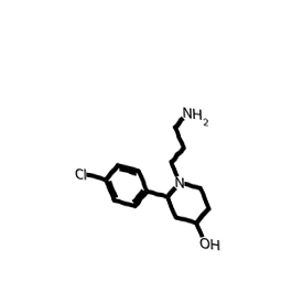 NCCCN1CCC(O)CC1c1ccc(Cl)cc1